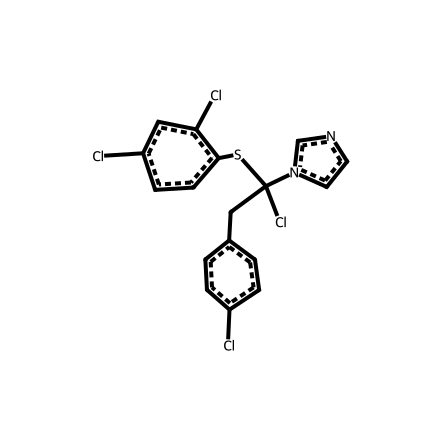 Clc1ccc(CC(Cl)(Sc2ccc(Cl)cc2Cl)n2ccnc2)cc1